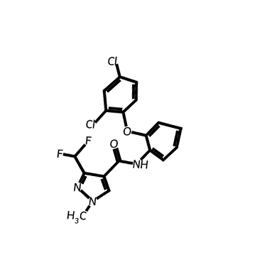 Cn1cc(C(=O)Nc2ccccc2Oc2ccc(Cl)cc2Cl)c(C(F)F)n1